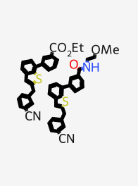 CCOC(=O)c1cccc(-c2cccc3cc(Cc4cccc(C#N)c4)sc23)c1.COCCNC(=O)c1cccc(-c2cccc3cc(Cc4cccc(C#N)c4)sc23)c1